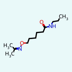 CCCNC(=O)CCCCCON=C(C)C